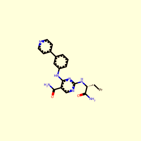 CC(C)C[C@@H](Nc1ncc(C(N)=O)c(Nc2cccc(-c3ccncc3)c2)n1)C(N)=O